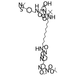 Cc1ncsc1-c1ccc(CNC(=O)[C@@H]2C[C@@H](O)CN2C(=O)[C@@H](NC(=O)CCCCCCCCCCC(=O)Nc2cn3nc(-c4cnc5c(c4)N(C(=O)OC(C)C)CCO5)ccc3n2)C(C)(C)C)cc1